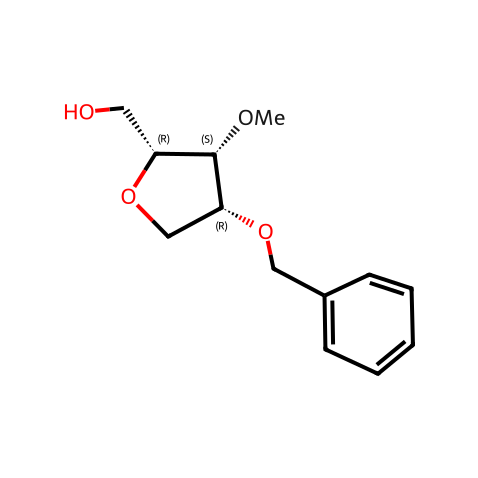 CO[C@H]1[C@@H](CO)OC[C@H]1OCc1ccccc1